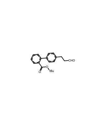 CC(C)(C)OC(=O)c1ccccc1-c1ccc(CCC=O)cc1